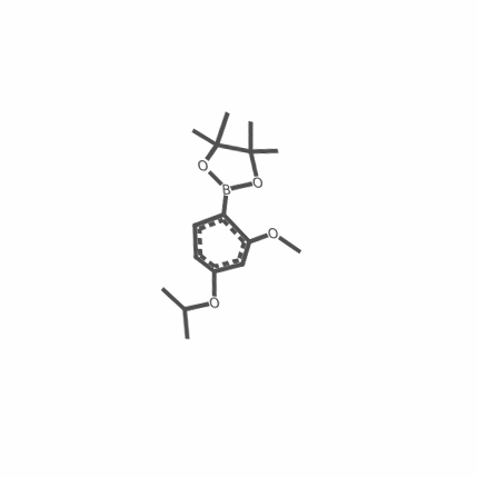 COc1cc(OC(C)C)ccc1B1OC(C)(C)C(C)(C)O1